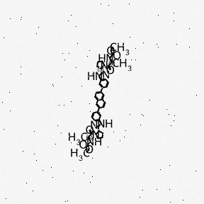 COC(=O)N[C@@H](C)C(=O)N1CCCC1c1nc2ccc(-c3ccc4cc(-c5ccc6nc([C@@H]7CCCN7C(=O)[C@H](C)NC(=O)OC)[nH]c6c5)ccc4c3)cc2[nH]1